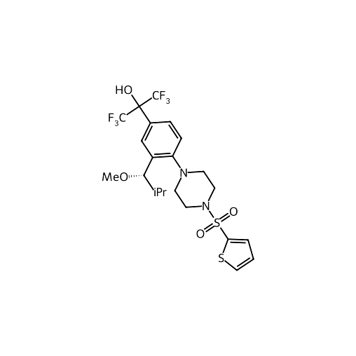 CO[C@H](c1cc(C(O)(C(F)(F)F)C(F)(F)F)ccc1N1CCN(S(=O)(=O)c2cccs2)CC1)C(C)C